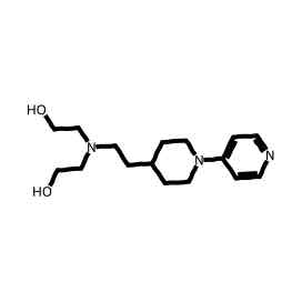 OCCN(CCO)CCC1CCN(c2ccncc2)CC1